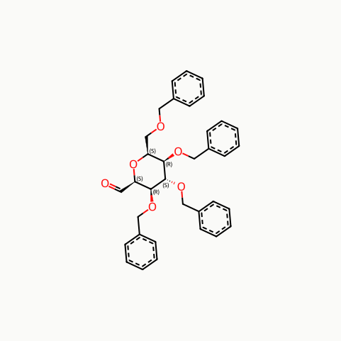 O=C[C@H]1O[C@@H](COCc2ccccc2)[C@@H](OCc2ccccc2)[C@H](OCc2ccccc2)[C@H]1OCc1ccccc1